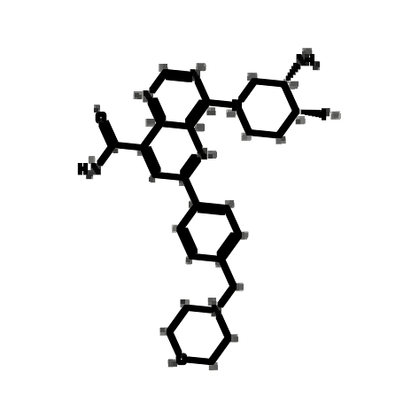 NC(=O)c1cc(-c2ccc(CN3CCOCC3)cc2)nc2c(N3CC[C@@H](F)[C@@H](N)C3)ncnc12